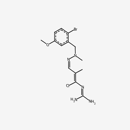 COc1ccc(Br)c(CN(C)/N=C\C(C)=C(/Cl)N=C(N)N)c1